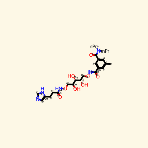 CCCN(CCC)C(=O)c1cc(C)cc(C(=O)NOC[C@H](O)[C@H](O)C(O)CONC(=O)CCc2cnc[nH]2)c1